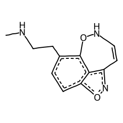 CNCCc1ccc2onc3c2c1ONC=C3